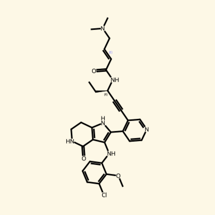 CC[C@H](C#Cc1cnccc1-c1[nH]c2c(c1Nc1cccc(Cl)c1OC)C(=O)NCC2)NC(=O)/C=C/CN(C)C